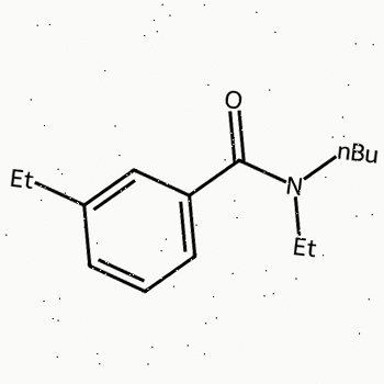 CCCCN(CC)C(=O)c1cccc(CC)c1